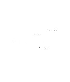 COc1c(C(=O)O)ccc2[nH]nc(C=Cc3ccc4occc4c3)c12